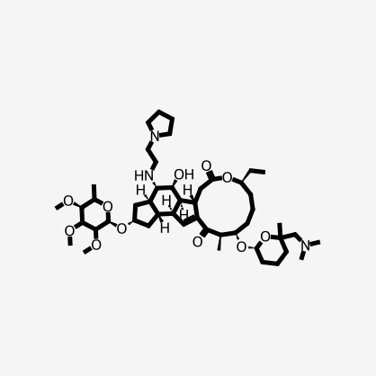 CC[C@H]1CCC[C@H](O[C@H]2CCCC(C)(CN(C)C)O2)[C@@H](C)C(=O)C2=C[C@H]3[C@@H]4C[C@H](O[C@@H]5OC(C)[C@H](OC)C(OC)C5OC)C[C@H]4[C@H](NCCN4CCCC4)[C@@H](O)[C@H]3[C@@H]2CC(=O)O1